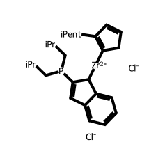 CCCC(C)C1=[C]([Zr+2][CH]2C(P(CC(C)C)CC(C)C)=Cc3ccccc32)CC=C1.[Cl-].[Cl-]